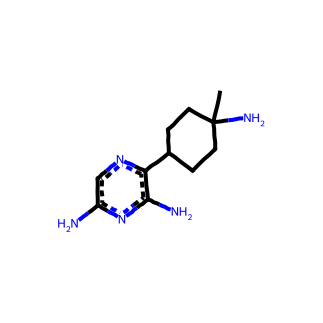 CC1(N)CCC(c2ncc(N)nc2N)CC1